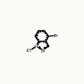 [CH2]Cn1ncc2c(Br)cccc21